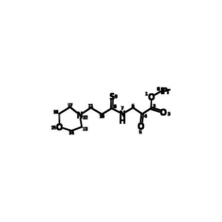 CC(C)OC(=O)C(=O)CNC(=S)CCN1CCOCC1